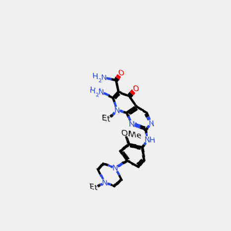 CCN1CCN(c2ccc(Nc3ncc4c(=O)c(C(N)=O)c(N)n(CC)c4n3)c(OC)c2)CC1